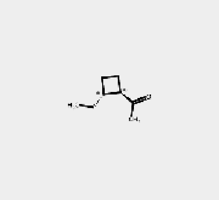 CC[C@@H]1CC[C@H]1C(C)=O